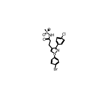 CS(=O)(=O)NC(=O)CCc1cn(-c2ccc(Br)cc2)nc1-c1ccc(Cl)cc1